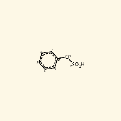 O=S(=O)(O)Oc1[c]cccc1